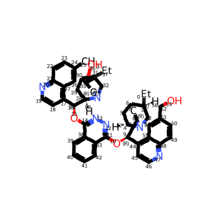 CC[C@H]1CN2CCC1C[C@@H]2[C@H](Oc1nnc(O[C@@H](c2ccnc3ccc(C)cc23)[C@H]2CC3CCN2CC3(O)CC)c2ccccc12)c1ccnc2ccc(CO)cc12